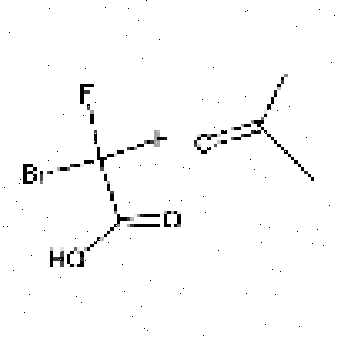 CC(C)=O.O=C(O)C(F)(F)Br